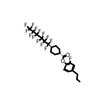 CCCc1ccc(OC(=O)[C@H]2CC[C@H](C(F)(F)C(F)(F)C(F)(F)C(F)(F)C(F)(F)C(F)(F)F)CC2)c(F)c1